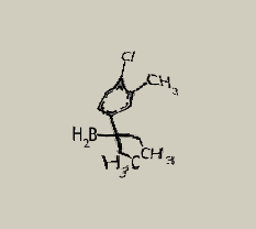 BC(CC)(CC)c1ccc(Cl)c(C)c1